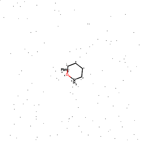 C1CC[SiH2]OC1.[PbH2]